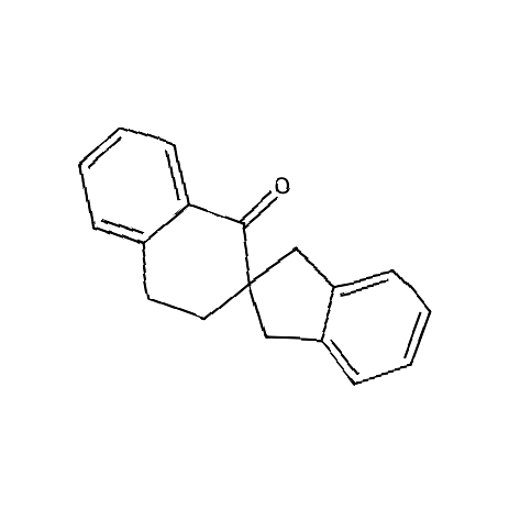 O=C1c2ccccc2CCC12Cc1ccccc1C2